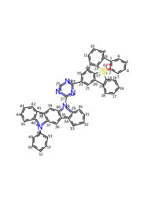 O=S12(c3ccccc3-c3ccccc31)c1ccccc1-c1cc(-c3ncnc(-n4c5ccccc5c5cc6c(cc54)c4ccccc4n6-c4ccccc4)n3)ccc12